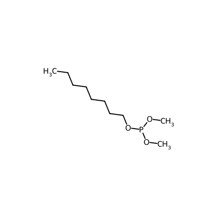 CCCCCCCCOP(OC)OC